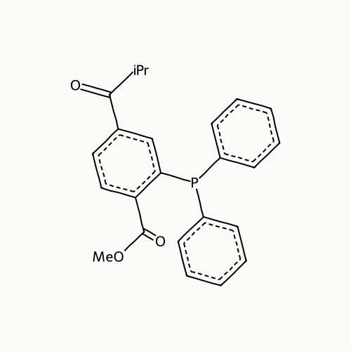 COC(=O)c1ccc(C(=O)C(C)C)cc1P(c1ccccc1)c1ccccc1